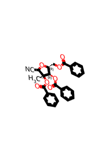 C[C@]1(OC(=O)c2ccccc2)C(C#N)O[C@H](COC(=O)c2ccccc2)[C@H]1OC(=O)c1ccccc1